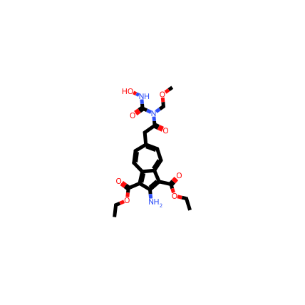 CCOC(=O)c1c2ccc(CC(=O)N(COC)C(=O)NO)ccc-2c(C(=O)OCC)c1N